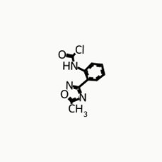 Cc1nc(-c2ccccc2NC(=O)Cl)no1